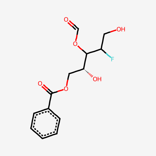 O=COC(C(F)CO)[C@H](O)COC(=O)c1ccccc1